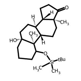 CC(C)(C)[Si](C)(C)OC1CCC[C@@]2(O)CC[C@H]3[C@@H]4CCC(=O)[C@@]4(C)CC[C@@H]3[C@@]12C